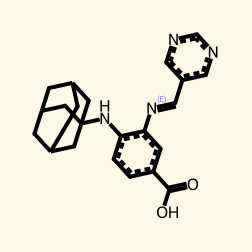 O=C(O)c1ccc(NC23CC4CC(CC(C4)C2)C3)c(/N=C/c2cncnc2)c1